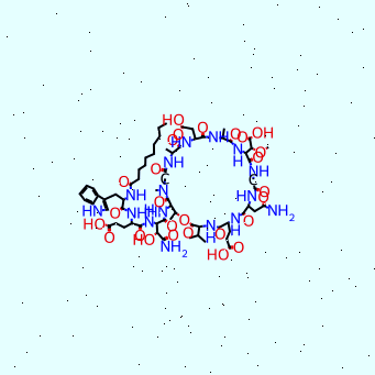 CCCCCCCCCC(=O)NC(Cc1c[nH]c2ccccc12)C(=O)NC(CCC(=O)O)C(=O)NC(C(=O)NC1C(=O)N(C)CC(=O)NC(C)C(=O)NC(CC(=O)O)C(=O)NC(C)C(=O)NC(C(OC)C(=O)O)C(=O)NCC(=O)NC(CC(N)=O)C(=O)NC(CCC(=O)O)C(=O)NC(C(C)C)C(=O)OC1C)C(O)C(N)=O